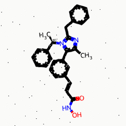 Cc1nc(Cc2ccccc2)n([C@H](C)c2ccccc2)c1-c1cccc(C=CC(=O)NO)c1